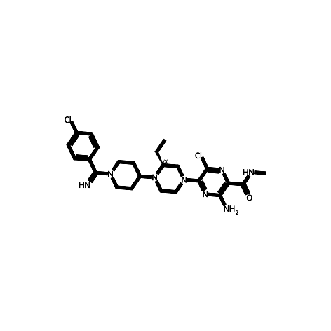 CC[C@H]1CN(c2nc(N)c(C(=O)NC)nc2Cl)CCN1C1CCN(C(=N)c2ccc(Cl)cc2)CC1